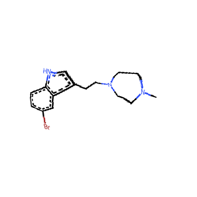 CN1CCN(CCc2c[nH]c3ccc(Br)cc23)CC1